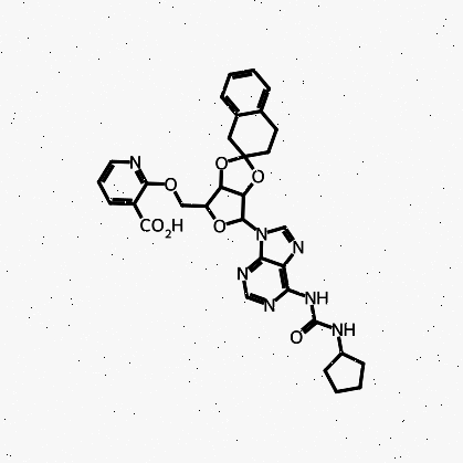 O=C(Nc1ncnc2c1ncn2C1OC(COc2ncccc2C(=O)O)C2OC3(CCc4ccccc4C3)OC21)NC1CCCC1